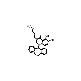 COCCCN1CN(C2c3ccccc3CCc3ccccc32)N2C=CC(O)C(O)=C2C1=O